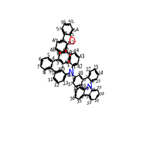 c1ccc(-c2ccccc2-c2cccc(N(c3cccc(-c4ccccc4-n4c5ccccc5c5ccccc54)c3)c3cccc(-c4cccc5c4oc4ccccc45)c3)c2)cc1